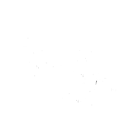 Cc1cccc(CN2CCc3cc(-c4c(C)nc(C)c([C@H](OC(C)(C)C)C(=O)O)c4N4CCC(C)(C)CC4)ccc3C2)c1